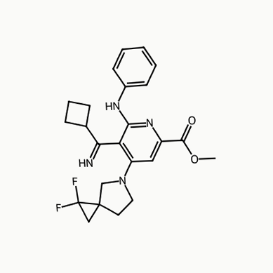 COC(=O)c1cc(N2CCC3(C2)CC3(F)F)c(C(=N)C2CCC2)c(Nc2ccccc2)n1